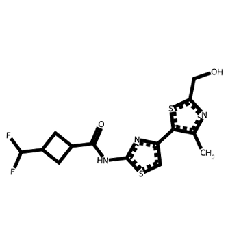 Cc1nc(CO)sc1-c1csc(NC(=O)C2CC(C(F)F)C2)n1